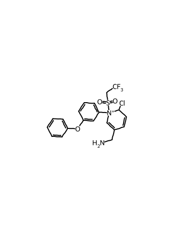 NCC1=C[N+](c2cccc(Oc3ccccc3)c2)(S(=O)(=O)CC(F)(F)F)C(Cl)C=C1